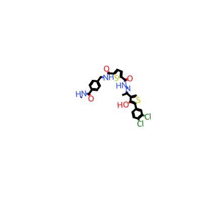 CNC(=O)c1ccc(CNC(=O)c2ccc(C(=O)N/N=C(\C)c3csc(-c4ccc(Cl)c(Cl)c4)c3O)s2)cc1